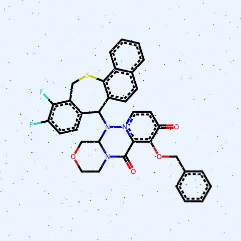 O=C1c2c(OCc3ccccc3)c(=O)ccn2N(C2c3ccc(F)c(F)c3CSc3c2ccc2ccccc32)C2COCCN12